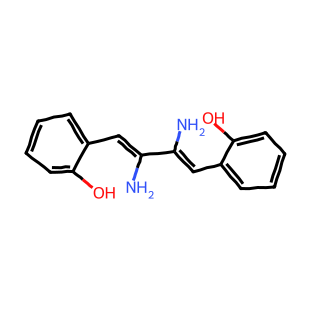 NC(=Cc1ccccc1O)C(N)=Cc1ccccc1O